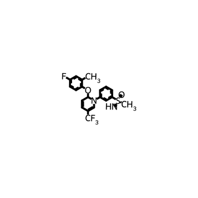 Cc1cc(F)ccc1OC1C=CC(C(F)(F)F)=CN1c1cccc(S(C)(=N)=O)c1